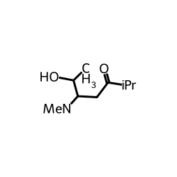 CNC(CC(=O)C(C)C)C(C)O